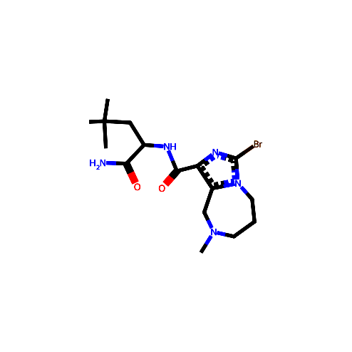 CN1CCCn2c(Br)nc(C(=O)NC(CC(C)(C)C)C(N)=O)c2C1